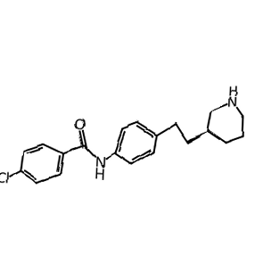 O=C(Nc1ccc(CC[C@@H]2CCCNC2)cc1)c1ccc(Cl)cc1